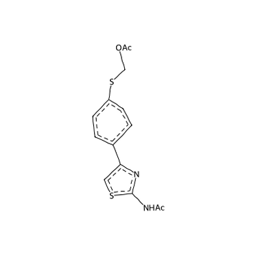 CC(=O)Nc1nc(-c2ccc(SCOC(C)=O)cc2)cs1